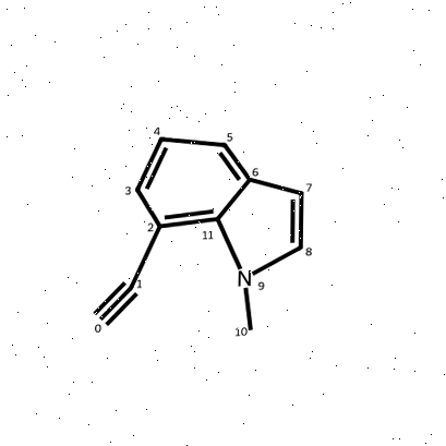 C#Cc1cccc2ccn(C)c12